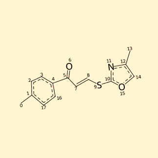 Cc1ccc(C(=O)/C=C/Sc2nc(C)co2)cc1